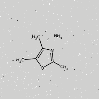 Cc1nc(C)c(C)o1.N